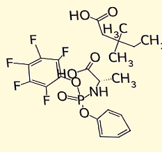 CCC(C)(C)CC(=O)O.C[C@H](NP(=O)(Oc1ccccc1)Oc1c(F)c(F)c(F)c(F)c1F)C(=O)O